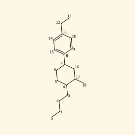 CCCCC1CCC(c2ccc(CC)cc2)CC1C